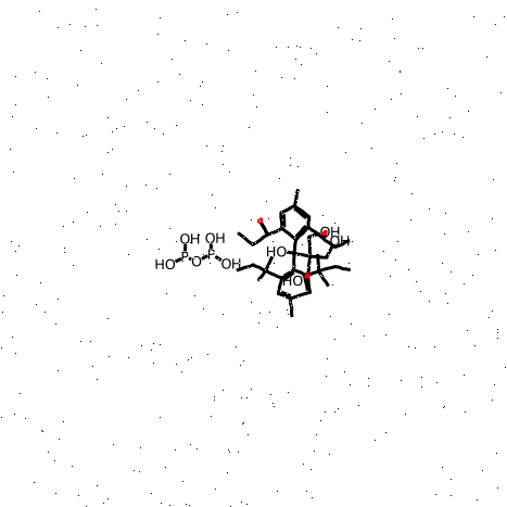 CCC(C)(C)c1cc(C)cc(C(C)(C)CC)c1C(O)(c1c(C(C)(C)CC)cc(C)cc1C(C)(C)CC)C(CO)(CO)CO.OP(O)OP(O)O